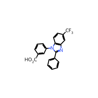 O=C(O)c1cccc(-n2c(-c3ccccc3)nc3cc(C(F)(F)F)ccc32)c1